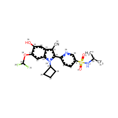 C[C@H](NS(=O)(=O)c1ccc(-c2c(C#N)c3cc(O)c(OC(F)F)cc3n2C2CCC2)nc1)C(F)(F)F